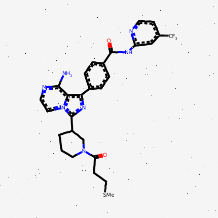 CSCCC(=O)N1CCCC(c2nc(-c3ccc(C(=O)Nc4cc(C(F)(F)F)ccn4)cc3)c3c(N)nccn23)C1